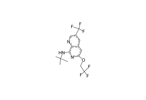 CC(C)(C)Nc1nc(OCC(F)(F)F)cc2cc(C(F)(F)F)cnc12